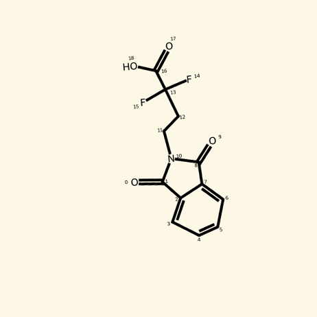 O=C1c2ccccc2C(=O)N1CCC(F)(F)C(=O)O